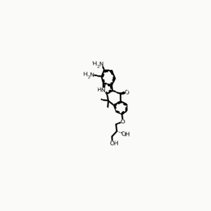 CC1(C)c2cc(OC[C@H](O)CO)ccc2C(=O)c2c1[nH]c1c(N)c(N)ccc21